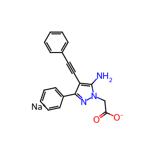 Nc1c(C#Cc2ccccc2)c(-c2ccccc2)nn1CC(=O)[O-].[Na+]